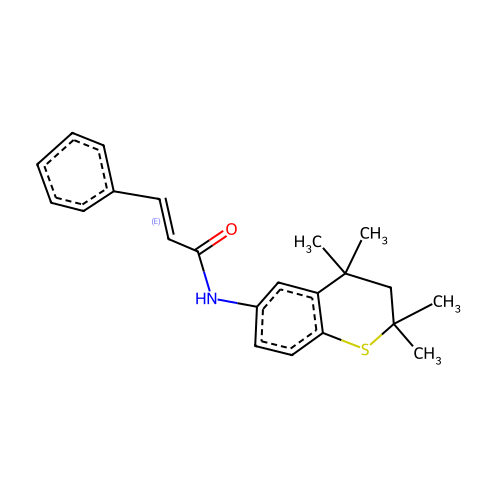 CC1(C)CC(C)(C)c2cc(NC(=O)/C=C/c3ccccc3)ccc2S1